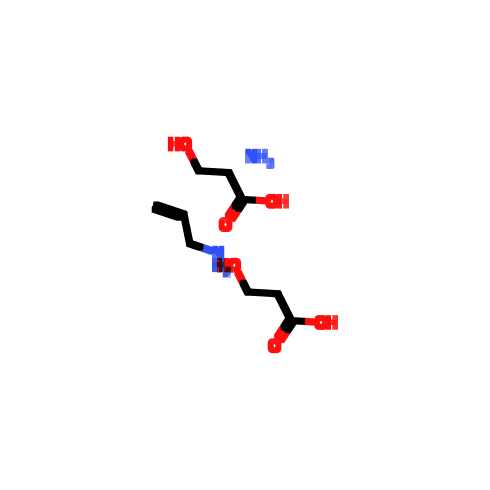 C=CCN.N.O=C(O)CCO.O=C(O)CCO